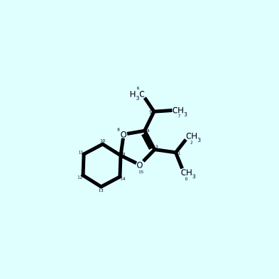 CC(C)C1=C(C(C)C)OC2(CCCCC2)O1